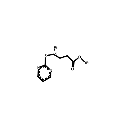 CC[C@H](CCC(=O)OC(C)(C)C)Sc1ncccn1